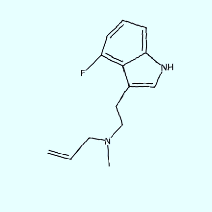 C=CCN(C)CCc1c[nH]c2cccc(F)c12